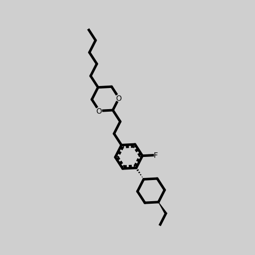 CCCCCC1COC(CCc2ccc([C@H]3CC[C@H](CC)CC3)c(F)c2)OC1